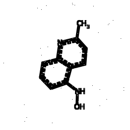 Cc1ccc2c(NO)cccc2n1